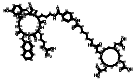 CN1C(CCCNC(=O)c2ccc(NC(=O)CCCCCNC(=O)CN3CCN(CC(=O)O)CCN(CC(=O)O)CCN(CC(=O)O)CC3)cc2)C(=O)N[C@@H](CCCNC(=N)N)C(=O)N[C@@H](Cc2ccc3ccccc3c2)C(=O)NCC(=O)N[C@]1(C=O)Cc1ccc(O)cc1